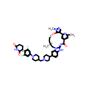 Cc1cc2cc(n1)-c1cnn(C)c1OCCC[C@@H](C)CN1/C(=N/C2=O)Nc2ccc(C3CCN(CC4CCN(c5cc(F)c([C@H]6CCC(=O)NC6=O)c(F)c5)CC4)CC3)cc21